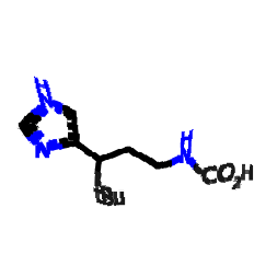 CC(C)(C)C(CCNC(=O)O)c1c[nH]cn1